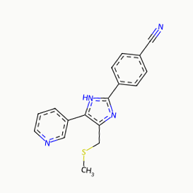 CSCc1nc(-c2ccc(C#N)cc2)[nH]c1-c1cccnc1